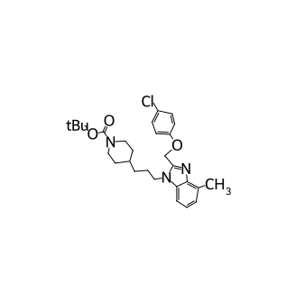 Cc1cccc2c1nc(COc1ccc(Cl)cc1)n2CCCC1CCN(C(=O)OC(C)(C)C)CC1